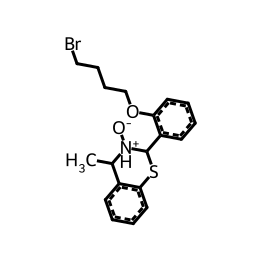 CC1c2ccccc2SC(c2ccccc2OCCCCBr)[NH+]1[O-]